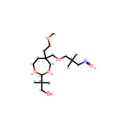 COCCC1(COCC(C)(C)CN=O)CCOC(C(C)(C)CO)OC1